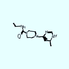 CCNC(=O)N1CCN(C2=CC(C)NC=N2)CC1